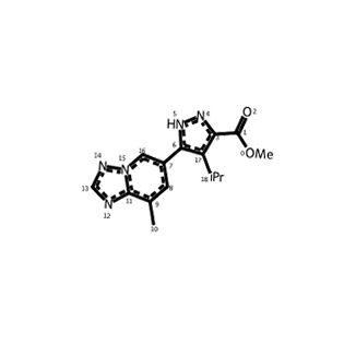 COC(=O)c1n[nH]c(-c2cc(C)c3ncnn3c2)c1C(C)C